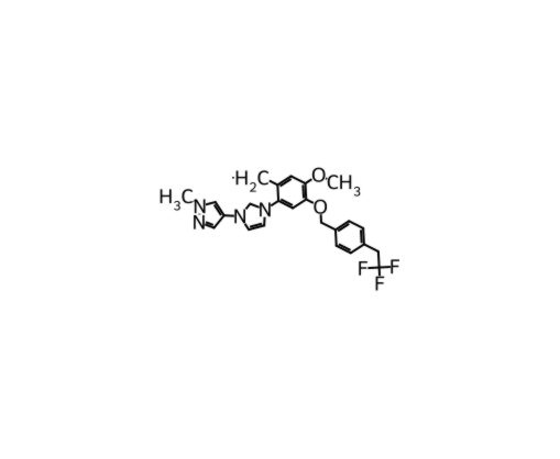 [CH2]c1cc(OC)c(OCc2ccc(CC(F)(F)F)cc2)cc1N1C=CN(c2cnn(C)c2)C1